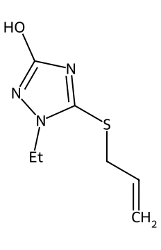 C=CCSc1nc(O)nn1CC